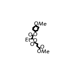 CCC(OC(=O)C=CC(=O)OC)C(=O)Oc1ccc(OC)cc1